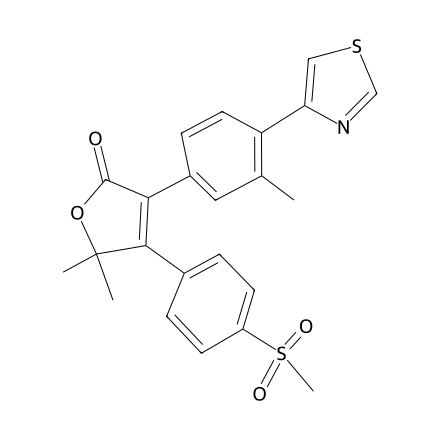 Cc1cc(C2=C(c3ccc(S(C)(=O)=O)cc3)C(C)(C)OC2=O)ccc1-c1cscn1